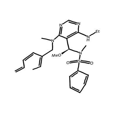 C=C/C=C\C(=C/C)CN(C)c1ncnc(NCC)c1[C@H](OC)N(C)S(=O)(=O)c1ccccc1